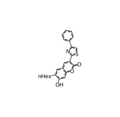 CCCCCCc1cc2cc(-c3nc(-c4ccccc4)cs3)c(=O)oc2cc1O